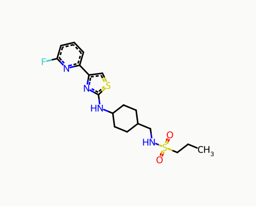 CCCS(=O)(=O)NCC1CCC(Nc2nc(-c3cccc(F)n3)cs2)CC1